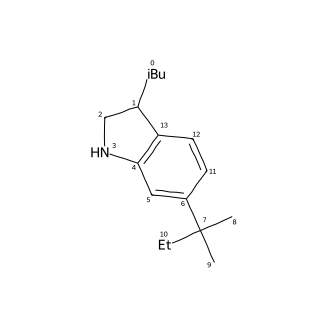 CCC(C)C1CNc2cc(C(C)(C)CC)ccc21